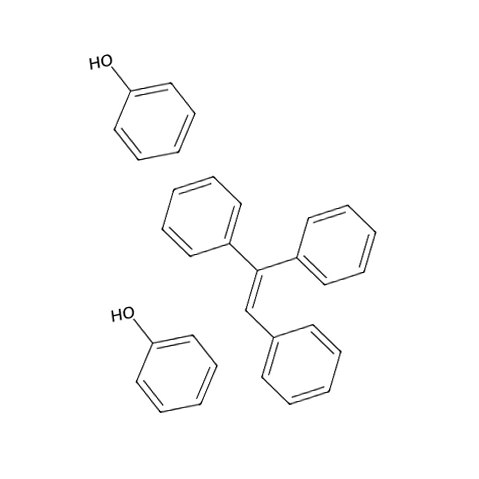 C(=C(c1ccccc1)c1ccccc1)c1ccccc1.Oc1ccccc1.Oc1ccccc1